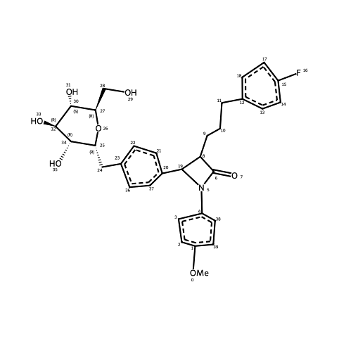 COc1ccc(N2C(=O)C(CCCc3ccc(F)cc3)C2c2ccc(C[C@H]3O[C@H](CO)[C@@H](O)[C@H](O)[C@H]3O)cc2)cc1